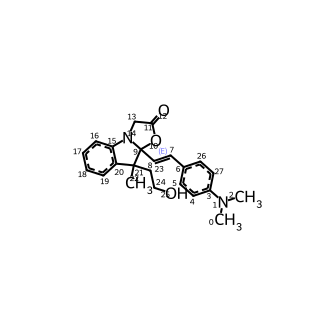 CN(C)c1ccc(/C=C/C23OC(=O)CN2c2ccccc2C3(C)CCO)cc1